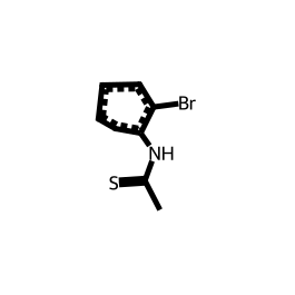 CC(=S)Nc1ccccc1Br